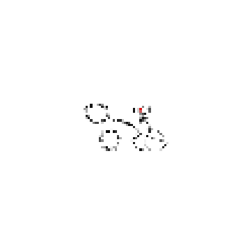 C#CC12CC3CC(C1)CC(c1ccccc1)(C3)C2(C#C)C#Cc1ccccc1